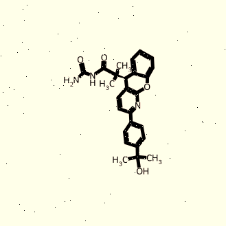 CC(C)(O)c1ccc(-c2ccc3c(n2)Oc2ccccc2[C@@H]3C(C)(C)C(=O)NC(N)=O)cc1